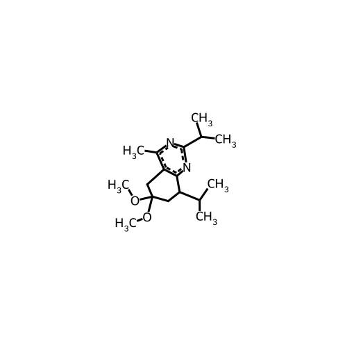 COC1(OC)Cc2c(C)nc(C(C)C)nc2C(C(C)C)C1